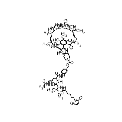 CO[C@H]1/C=C/O[C@@]2(C)Oc3c(C)c(O)c4c(c3C2=O)C2=NC3(CCN(C(=O)OCc5ccc(NC(=O)[C@H](CCCNC(N)=O)NC(=O)[C@@H](NC(=O)CCCCCN6C(=O)C=CC6=O)C(C)C)cc5)CC3)NC2=C(NC(=O)/C(C)=C\C=C\[C@H](C)[C@H](O)[C@@H](C)[C@@H](O)[C@@H](C)[C@H](OC(C)=O)[C@@H]1C)C4=O